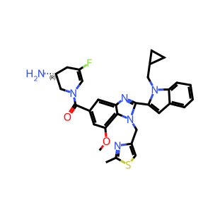 COc1cc(C(=O)N2C=C(F)C[C@@H](N)C2)cc2nc(-c3cc4ccccc4n3CC3CC3)n(Cc3csc(C)n3)c12